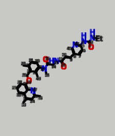 CCNC(=O)Nc1ccc(/C=C/C(=O)NCC(=O)N(C)c2ccc(C)c(COc3cccc4c(C)cc(C)nc34)c2C)cn1